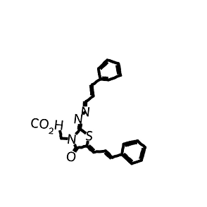 O=C(O)CN1C(=O)C(=CC=Cc2ccccc2)SC1=NN=CC=Cc1ccccc1